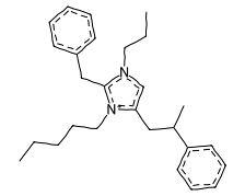 CCCCC[n+]1c(CC(C)c2ccccc2)cn(CCC)c1Cc1ccccc1